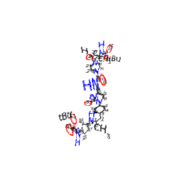 CC(Cc1ccc(-n2ccc(NC(=O)N3CCN(C(=O)C(C)(C)NC(=O)OC(C)(C)C)CC3)nc2=O)cc1)NC1CCC(NC(=O)OC(C)(C)C)C1